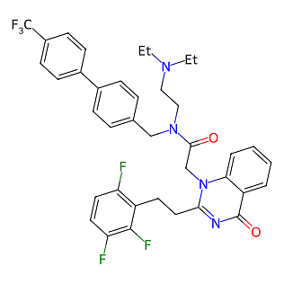 CCN(CC)CCN(Cc1ccc(-c2ccc(C(F)(F)F)cc2)cc1)C(=O)Cn1c(CCc2c(F)ccc(F)c2F)nc(=O)c2ccccc21